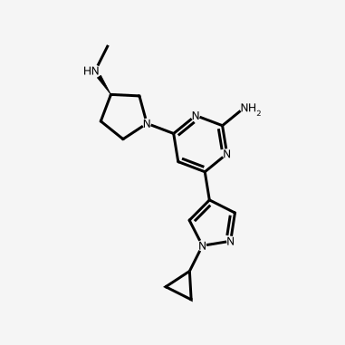 CN[C@@H]1CCN(c2cc(-c3cnn(C4CC4)c3)nc(N)n2)C1